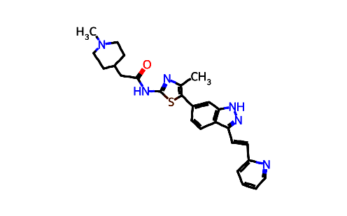 Cc1nc(NC(=O)CC2CCN(C)CC2)sc1-c1ccc2c(C=Cc3ccccn3)n[nH]c2c1